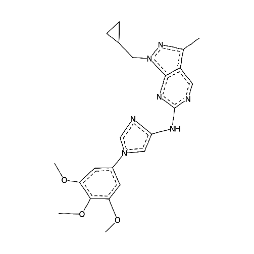 COc1cc(-n2cnc(Nc3ncc4c(C)nn(CC5CC5)c4n3)c2)cc(OC)c1OC